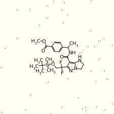 COC(=O)c1ccc(C(C)NC(=O)c2c(C(F)(F)CO[Si](C)(C)C(C)(C)C)nn3c2NCC3)cc1